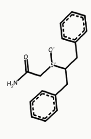 NC(=O)C[S+]([O-])C(Cc1ccccc1)Cc1ccccc1